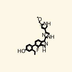 CCc1cc(O)ccc1-c1ccc2c(-c3nc(C4=C[C@@H](COC)NC4)c[nH]3)n[nH]c2c1F